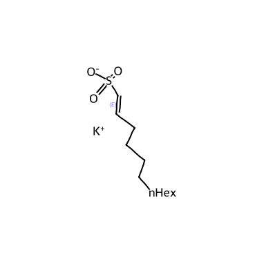 CCCCCCCCCC/C=C/S(=O)(=O)[O-].[K+]